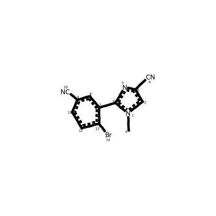 Cn1cc(C#N)nc1-c1cc(C#N)ccc1Br